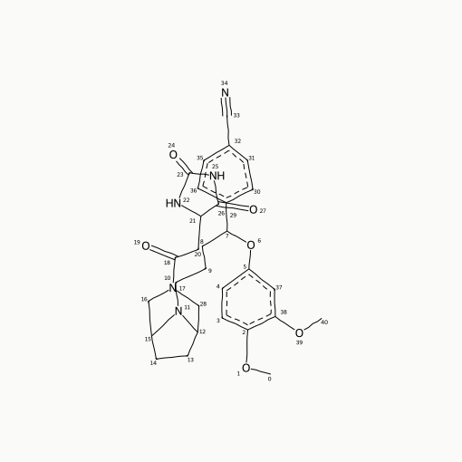 COc1ccc(OC(CCCN2C3CCC2CN(C(=O)CC2NC(=O)NC2=O)C3)c2ccc(C#N)cc2)cc1OC